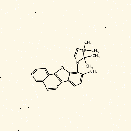 Cc1ccc2c(oc3c4ccccc4ccc23)c1N1C=C[N+](C)(C)C1(C)C